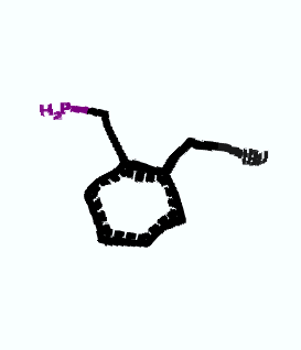 CC(C)(C)Cc1ccccc1CP